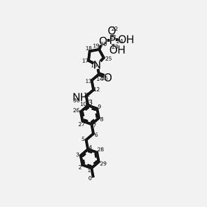 Cc1ccc(CCc2ccc(CCCC(=O)N3CCC(OP(=O)(O)O)C3)cc2)cc1.N